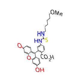 COCCCCCCNC(=S)Nc1ccc(C(=O)O)c(-c2c3ccc(=O)cc-3oc3cc(O)ccc23)c1